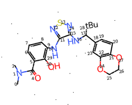 CN(C)C(=O)c1cccc(Nc2nsnc2NC(c2ccc3c(c2)OCCO3)C(C)(C)C)c1O